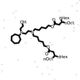 CCCCCCCCC(CCCCCC)CC(=O)OCCCCCN(CCCCCOC(=O)CC(CCCCCC)CCCCCCCC)CCN(CCO)C1CCCCCC1